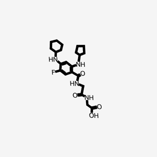 O=C(O)CNC(=O)CNC(=O)c1cc(F)c(NC2CCCCC2)cc1NC1CCCC1